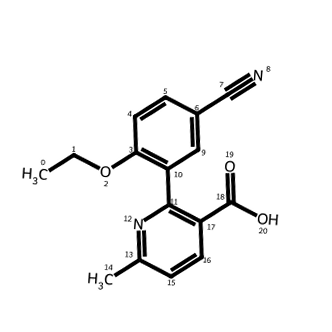 CCOc1ccc(C#N)cc1-c1nc(C)ccc1C(=O)O